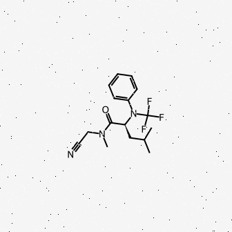 CC(C)C[C@@H](C(=O)N(C)CC#N)N(c1ccccc1)C(F)(F)F